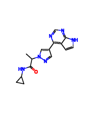 CC(C(=O)NC1CC1)n1cc(-c2ncnc3[nH]ccc23)cn1